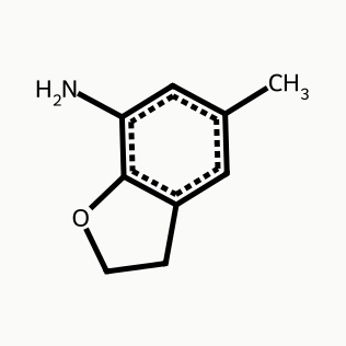 Cc1cc(N)c2c(c1)CCO2